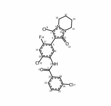 O=C(Nc1cc(-c2c(Cl)n3n(c2=O)CCCC3)c(F)cc1Cl)c1cccc(Cl)c1